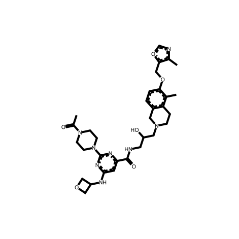 CC(=O)N1CCN(c2nc(NC3COC3)cc(C(=O)NCC(O)CN3CCc4c(ccc(OCc5ocnc5C)c4C)C3)n2)CC1